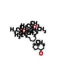 CC(C)(CCCC(CCCC(C)(C)O[Si](C)(C)C)[C@H]1CCC2C(=O)CCC[C@@]21C)O[Si](C)(C)C